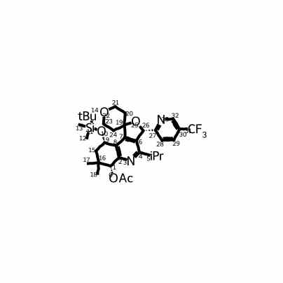 CC(=O)O[C@H]1c2nc(C(C)C)c3c(c2[C@@H](O[Si](C)(C)C(C)(C)C)CC1(C)C)C1(CCOCC1)O[C@@H]3c1ccc(C(F)(F)F)cn1